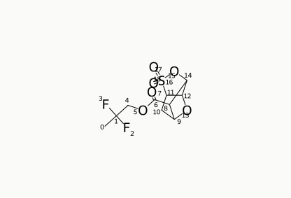 CC(F)(F)COC(=O)C1C2CC3C(O2)C1OS3(=O)=O